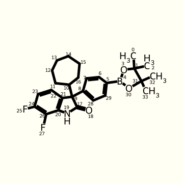 CC1(C)OB(c2ccc(C3(C4CCCCCC4)C(=O)Nc4c3ccc(F)c4F)cc2)OC1(C)C